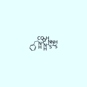 O=C(Nc1n[nH]c(=S)s1)N[C@H](Cc1ccccc1)C(=O)O